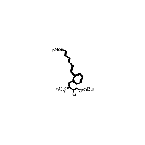 CCCCCCCCCC=CC=CC=Cc1ccccc1C=C(C(=O)O)C(CC)COCCCC